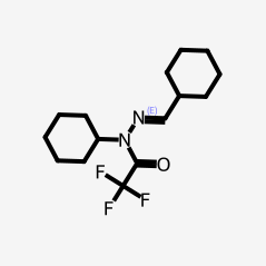 O=C(N(/N=C/C1CCCCC1)C1CCCCC1)C(F)(F)F